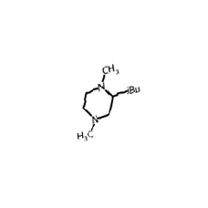 CCC(C)C1CN(C)CCN1C